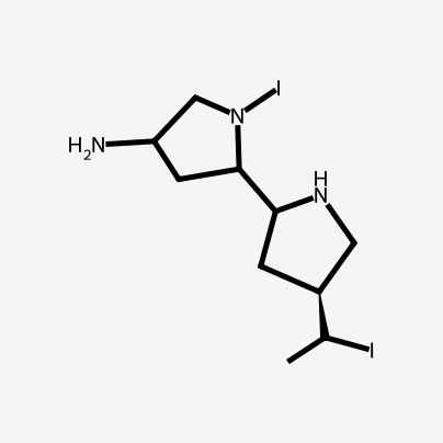 CC(I)[C@@H]1CNC(C2CC(N)CN2I)C1